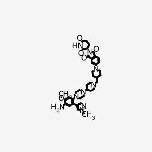 COc1cc(N2CCN(C3CCN(CC4CCN(c5ccc6c(c5)C(=O)N(C5CCC(=O)NC5=O)C6=O)CC4)CC3)CC2)c(-c2cnn(C)c2)cc1N